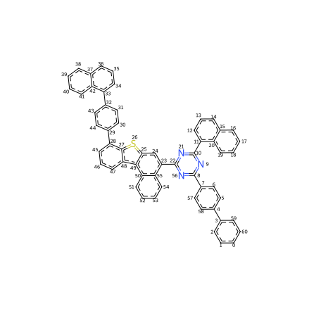 c1ccc(-c2ccc(-c3nc(-c4cccc5ccccc45)nc(-c4cc5sc6c(-c7ccc(-c8cccc9ccccc89)cc7)cccc6c5c5ccccc45)n3)cc2)cc1